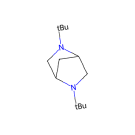 CC(C)(C)N1CC2CC1CN2C(C)(C)C